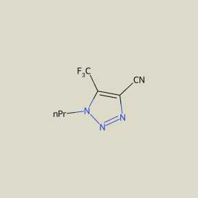 CCCn1nnc(C#N)c1C(F)(F)F